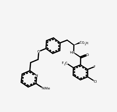 CNc1cccc(CCOc2ccc(C[C@H](NC(=O)c3c(C(F)(F)F)ccc(Cl)c3F)C(=O)O)cc2)n1